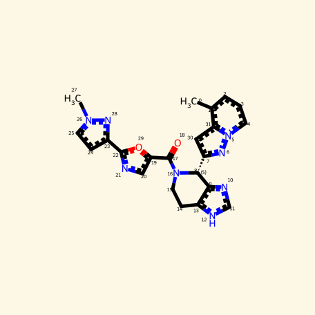 Cc1cccn2nc([C@@H]3c4nc[nH]c4CCN3C(=O)c3cnc(-c4ccn(C)n4)o3)cc12